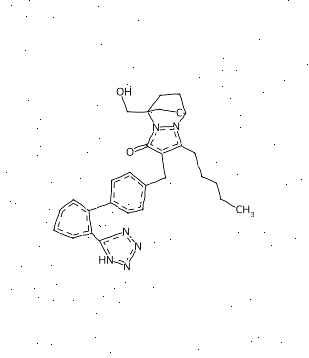 CCCCCc1c(Cc2ccc(-c3ccccc3-c3nnn[nH]3)cc2)c(=O)n2n1C1CCC2(CO)CC1